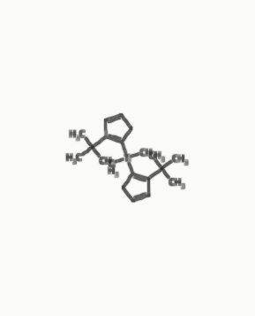 CC(C)(C)C1=[C]([Ti]([CH3])([CH3])[C]2=C(C(C)(C)C)C=CC2)CC=C1